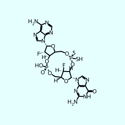 Nc1nc2c(ncn2[C@@H]2O[C@@H]3COP(=O)(O)O[C@@H]4C(COP(=S)(S)O[C@@H]2[C@@H]3F)O[C@@H](n2cnc3c(N)ncnc32)[C@H]4F)c(=O)[nH]1